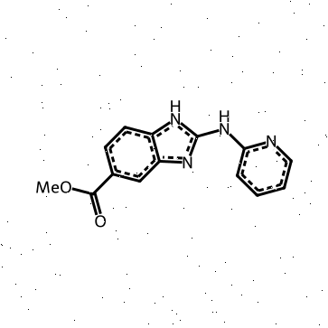 COC(=O)c1ccc2[nH]c(Nc3ccccn3)nc2c1